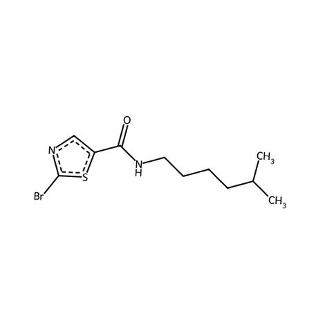 CC(C)CCCCNC(=O)c1cnc(Br)s1